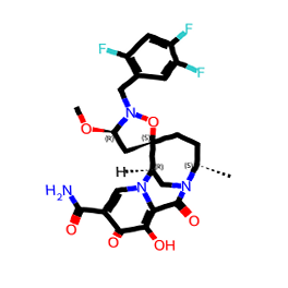 CO[C@@H]1C[C@]2(CC[C@H](C)N3C[C@H]2n2cc(C(N)=O)c(=O)c(O)c2C3=O)ON1Cc1cc(F)c(F)cc1F